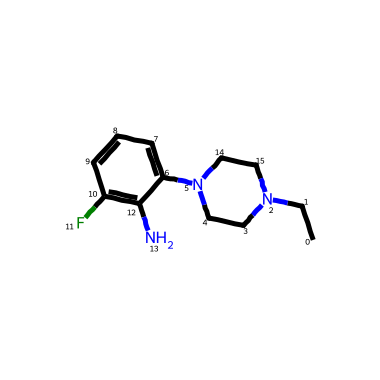 CCN1CCN(c2cccc(F)c2N)CC1